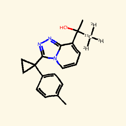 [2H][13C]([2H])([2H])C(C)(O)c1cccn2c(C3(c4ccc(C)cc4)CC3)nnc12